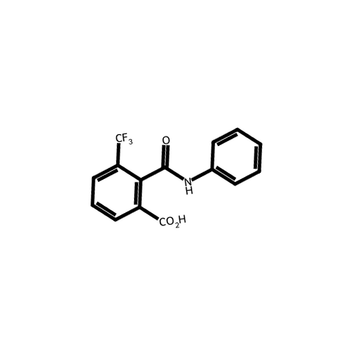 O=C(O)c1cccc(C(F)(F)F)c1C(=O)Nc1ccccc1